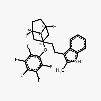 Cc1[nH]c2ccccc2c1CCCN1[C@@H]2CC[C@H]1C[C@@H](Oc1c(F)c(F)c(F)c(F)c1F)C2